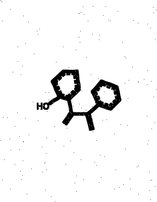 C=C(C(=C)c1ccccc1O)c1ccccc1